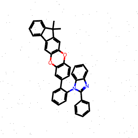 CC1(C)c2ccccc2-c2cc3c(cc21)Oc1ccc(-c2ccccc2-n2c(-c4ccccc4)nc4ccccc42)cc1O3